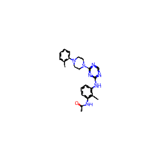 CC(=O)Nc1cccc(Nc2ncnc(N3CCN(c4ccccc4C)CC3)n2)c1C